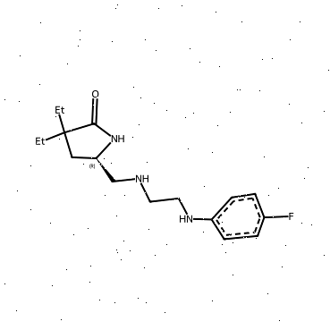 CCC1(CC)C[C@H](CNCCNc2ccc(F)cc2)NC1=O